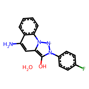 NC1=CC2=C(O)N(c3ccc(F)cc3)[N]N2c2ccccc21.O